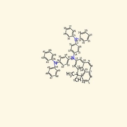 CC1(C)c2cccc3ccc4cc(N(c5ccc(N(c6ccccc6)c6ccccc6)cc5)c5ccc(N(c6ccccc6)c6ccccc6)cc5)cc1c4c23